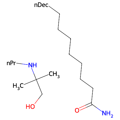 CCCCCCCCCCCCCCCCCC(N)=O.CCCNC(C)(C)CO